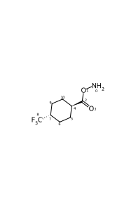 NOC(=O)[C@H]1CC[C@H](C(F)(F)F)CC1